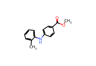 COC(=O)c1ccc(Nc2ccccc2C)cc1